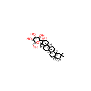 CC1(C)CC[C@]2(C(=O)O)CC[C@]3(C)C(=CC[C@@H]4[C@@]5(C)CC[C@@](O)(C6O[C@H](CO)[C@@H](O)[C@H](O)[C@H]6O)C(C)(C)[C@@H]5CC[C@]43C)[C@@H]2C1